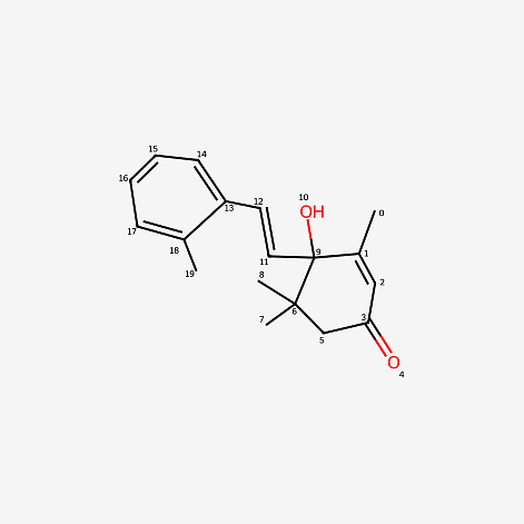 CC1=CC(=O)CC(C)(C)C1(O)C=Cc1ccccc1C